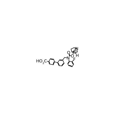 O=C(O)c1ccc(-c2cccc(CN(C(=O)O[C@H]3CN4CCC3CC4)c3ccccc3F)c2)cc1